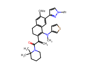 C=C(C(=O)N1CCCCC1(C)C)C1=C(N(C)c2ccsc2)c2cc(-c3ccn(C(C)C)n3)c(OC)cc2CC1